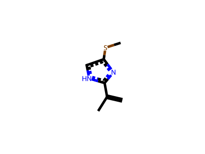 C=C(C)c1nc(SC)c[nH]1